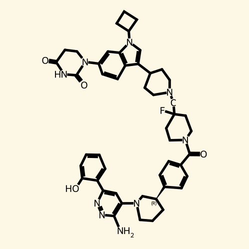 Nc1nnc(-c2ccccc2O)cc1N1CCC[C@H](c2ccc(C(=O)N3CCC(F)(CN4CCC(c5cn(C6CCC6)c6cc(N7CCC(=O)NC7=O)ccc56)CC4)CC3)cc2)C1